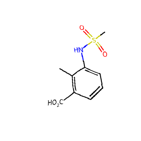 Cc1c(NS(C)(=O)=O)cccc1C(=O)O